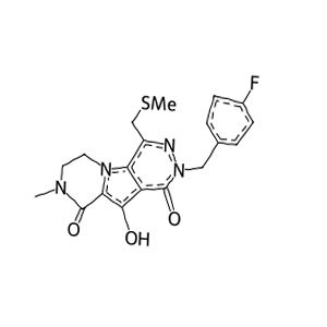 CSCc1nn(Cc2ccc(F)cc2)c(=O)c2c(O)c3n(c12)CCN(C)C3=O